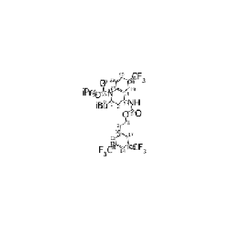 CCC(C)C1CC(NC(=O)OCCc2cc(C(F)(F)F)cc(C(F)(F)F)c2)c2cc(C(F)(F)F)ccc2N1C(=O)OC(C)C